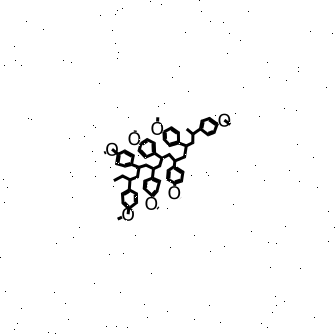 CCC(CC(CC(CC(CC(CC(CC(C)c1ccc(OC)cc1)c1ccc(OC)cc1)c1ccc(OC)cc1)c1ccc(OC)cc1)c1ccc(OC)cc1)c1ccc(OC)cc1)c1ccc(OC)cc1